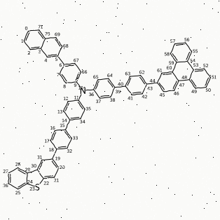 c1ccc2cc(-c3ccc(N(c4ccc(-c5ccc(-c6ccc7sc8ccccc8c7c6)cc5)cc4)c4ccc(-c5ccc(-c6ccc7c8ccccc8c8ccccc8c7c6)cc5)cc4)cc3)ccc2c1